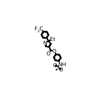 CCC1(c2ccc(C(F)(F)F)cc2)C=C(C(=O)Oc2ccc(NS(C)(=O)=O)cc2)C=N1